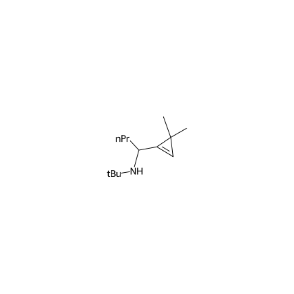 CCCC(NC(C)(C)C)C1=CC1(C)C